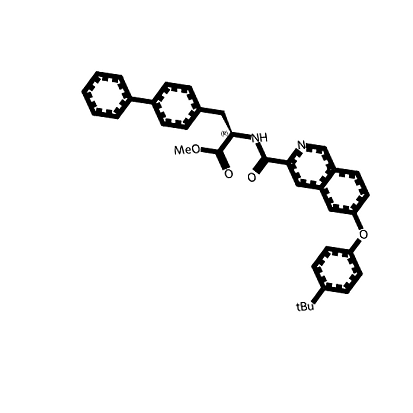 COC(=O)[C@@H](Cc1ccc(-c2ccccc2)cc1)NC(=O)c1cc2cc(Oc3ccc(C(C)(C)C)cc3)ccc2cn1